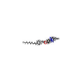 CCCCCCCCCC[C@H]1CC[C@H](CCCOc2ccc(-c3ncc(CCC)cn3)cc2)CC1